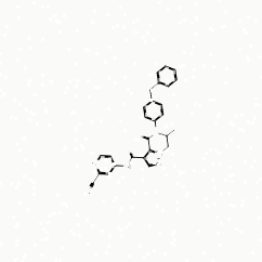 CC1Cn2ncc(C(=O)Nc3ccnc(C#N)c3)c2C(=O)N1c1ccc(Cc2ccccc2)cc1